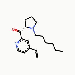 C=Cc1ccnc(C(=O)[C@@H]2CCCN2CCCCCC)c1